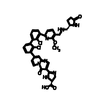 COc1nc(-c2cccc(-c3cccc(-c4ccn5c(=O)c(C6=NC[C@H](C(=O)O)N6)cnc5c4)c3Cl)c2Cl)ccc1CNC[C@@H]1CCC(=O)N1